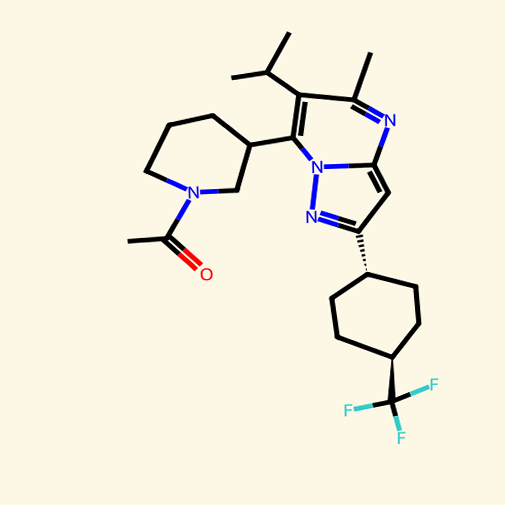 CC(=O)N1CCCC(c2c(C(C)C)c(C)nc3cc([C@H]4CC[C@H](C(F)(F)F)CC4)nn23)C1